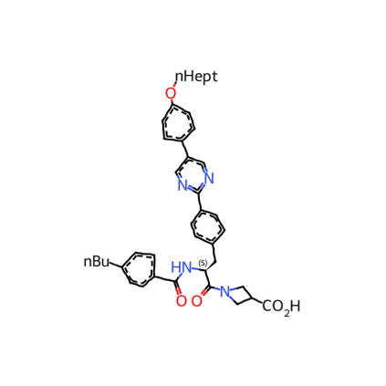 CCCCCCCOc1ccc(-c2cnc(-c3ccc(C[C@H](NC(=O)c4ccc(CCCC)cc4)C(=O)N4CC(C(=O)O)C4)cc3)nc2)cc1